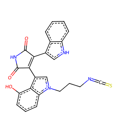 O=C1NC(=O)C(c2cn(CCCN=C=S)c3cccc(O)c23)=C1c1c[nH]c2ccccc12